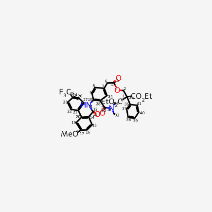 CCOC(=O)C(COC(=O)Cc1ccc(NC(=O)c2ccc(OC)cc2-c2ccc(C(F)(F)F)cc2)c(C(=O)N(C)C)c1)(C(=O)OCC)c1ccccc1